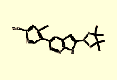 COc1cc(C)c(-c2cnc3[nH]c(B4OC(C)(C)C(C)(C)O4)cc3c2)cn1